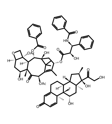 CC(=O)O[C@H]1C(=O)[C@@]2(C)[C@H]([C@H](OC(=O)c3ccccc3)[C@]3(O)C[C@H](OC(=O)[C@H](O)[C@@H](NC(=O)c4ccccc4)c4ccccc4)C(C)=C1C3(C)C)[C@]1(OC(C)=O)CO[C@@H]1C[C@@H]2O.C[C@@H]1C[C@H]2[C@@H]3CCC4=CC(=O)C=C[C@]4(C)[C@@]3(F)[C@@H](O)C[C@]2(C)[C@@]1(O)C(=O)CO